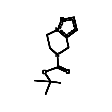 CC(C)(C)OC(=O)N1CCn2nccc2C1